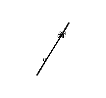 CCCCCCCCCCCCCCCCCCCC(=O)CCCCCCCCCCCCCCCCCCCCCCCCCCCCCC(=O)N[C@H](CO)CCCCCCCCCCCCCCCC